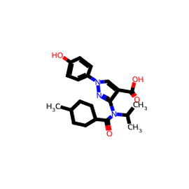 CC1CCC(C(=O)N(c2nn(-c3ccc(O)cc3)cc2C(=O)O)C(C)C)CC1